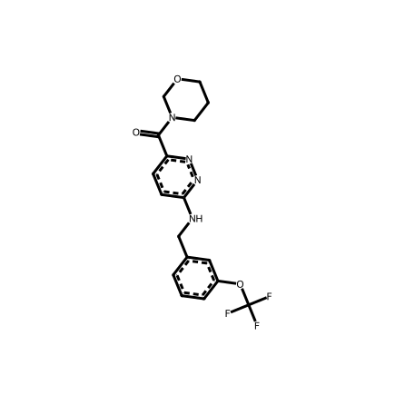 O=C(c1ccc(NCc2cccc(OC(F)(F)F)c2)nn1)N1CCCOC1